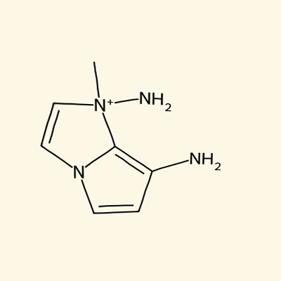 C[N+]1(N)C=Cn2ccc(N)c21